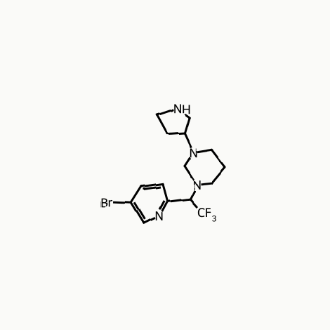 FC(F)(F)C(c1ccc(Br)cn1)N1CCCN(C2CCNC2)C1